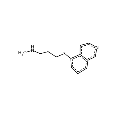 CNCCCSc1cccc2cnccc12